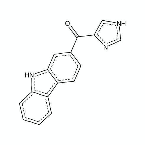 O=C(c1ccc2c(c1)[nH]c1ccccc12)c1c[nH]cn1